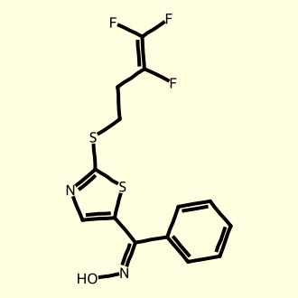 ON=C(c1ccccc1)c1cnc(SCCC(F)=C(F)F)s1